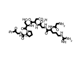 CC(C)C(=O)CNC(=O)[C@@H]1CCCN1C(=O)C(CO)NC(=O)C(CC(=O)O)NC(=O)CNC(=O)C(CCCNC(=N)N)NC(=O)CN